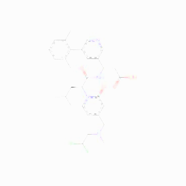 Cc1cccc(C)c1-c1cncc([C@H](CC(=O)O)NC(=O)[C@H](CC(C)C)n2ccc(CN(C)CC(F)F)cc2=O)c1